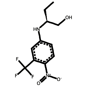 CC[C@@H](CO)Nc1ccc([N+](=O)[O-])c(C(F)(F)F)c1